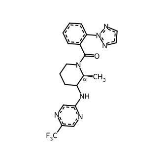 C[C@H]1C(Nc2cnc(C(F)(F)F)cn2)CCCN1C(=O)c1ccccc1-n1nccn1